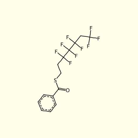 O=C(SCCC(F)(F)C(F)(F)C(F)(F)CC(F)(F)F)c1ccccc1